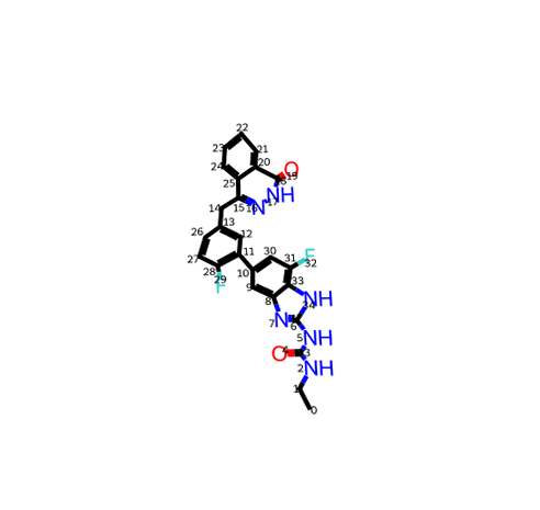 CCNC(=O)Nc1nc2cc(-c3cc(Cc4n[nH]c(=O)c5ccccc45)ccc3F)cc(F)c2[nH]1